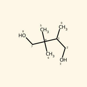 CC(CO)C(C)(C)CO